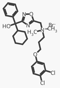 C[N+](C)(CCCOc1ccc(Cl)c(Cl)c1)Cc1nc(C(O)(c2ccccc2)C2CCCCC2)no1.[Br-]